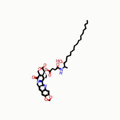 CCCCCCCCCCCCCCCC[C@@H](O)C(C)NC(=O)CCC(=O)O[C@]1(CC)C(=O)OCc2c1cc1n(c2=O)Cc2cc3cc4c(cc3nc2-1)OCO4